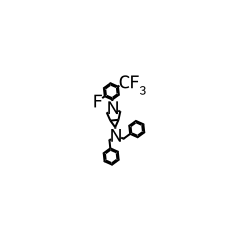 Fc1ccc(C(F)(F)F)cc1N1CC2C(C1)C2N(Cc1ccccc1)Cc1ccccc1